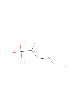 CCCCCC/C=C(\Cl)C(O)(O)O